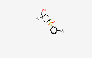 CC1(CO)CCC(F)(S(=O)(=O)c2cccc(C(F)(F)F)c2)CC1